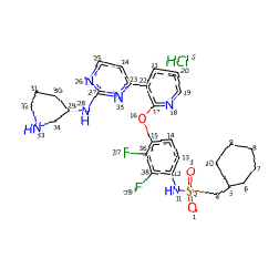 Cl.O=S(=O)(CC1CCCCC1)Nc1ccc(Oc2ncccc2-c2ccnc(NC3CCCNC3)n2)c(F)c1F